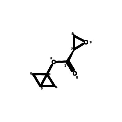 O=C(OC12CC1C2)[C@H]1CO1